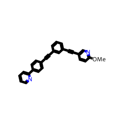 COc1ccc(C#Cc2cccc(C#Cc3ccc(-c4ccccn4)cc3)c2)cn1